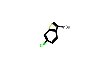 [CH2]CCCc1csc2cc(Cl)ccc12